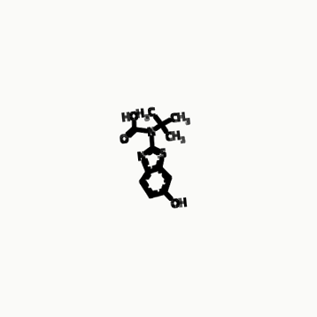 CC(C)(C)N(C(=O)O)c1nc2ccc(O)cc2s1